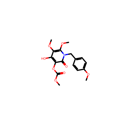 COC(=O)Oc1c(O)c(OC)c(OC)n(Cc2ccc(OC)cc2)c1=O